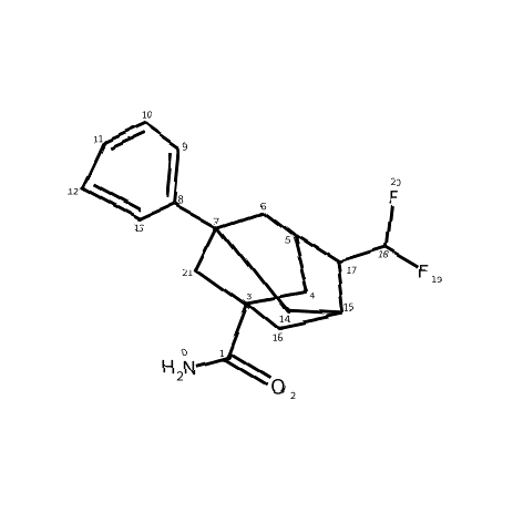 NC(=O)C12CC3CC(c4ccccc4)(CC(C1)C3C(F)F)C2